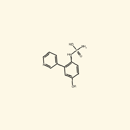 NP(=O)(O)Nc1ccc(O)cc1-c1cccnc1